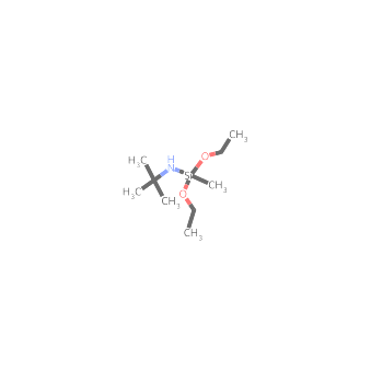 CCO[Si](C)(NC(C)(C)C)OCC